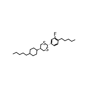 CCCCCc1ccc([C@H]2SC[C@H](C3CCC(CCCCC)CC3)CS2)cc1F